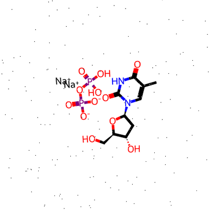 Cc1cn([C@H]2C[C@H](O)[C@@H](CO)O2)c(=O)[nH]c1=O.O=P([O-])([O-])OP(=O)(O)O.[Na+].[Na+]